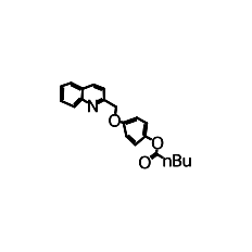 CCCCC(=O)Oc1ccc(OCc2ccc3ccccc3n2)cc1